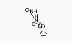 O=C(NCCCNCl)c1cc(-c2ccccc2)on1